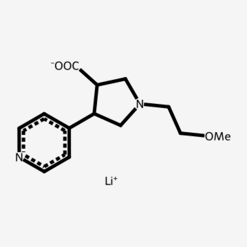 COCCN1CC(C(=O)[O-])C(c2ccncc2)C1.[Li+]